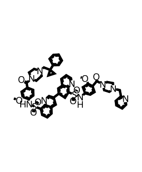 COc1cc(C(=O)N2CCN(CC3(c4ccccc4)CC3)CC2)ccc1NS(=O)(=O)c1cccc2cc(-c3cc(S(=O)(=O)Nc4ccc(C(=O)N5CCN(Cc6ccccn6)CC5)c(OC)c4)c4ncccc4c3)cnc12